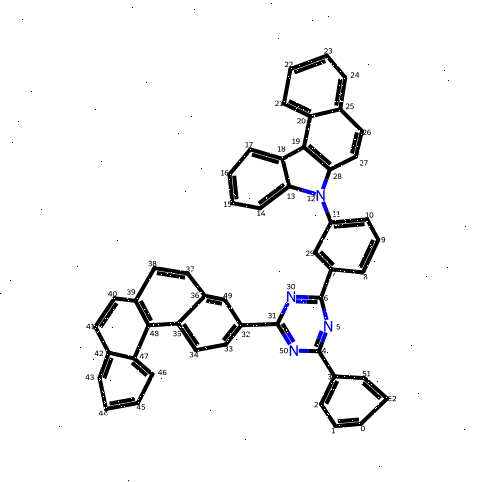 c1ccc(-c2nc(-c3cccc(-n4c5ccccc5c5c6ccccc6ccc54)c3)nc(-c3ccc4c(ccc5ccc6ccccc6c54)c3)n2)cc1